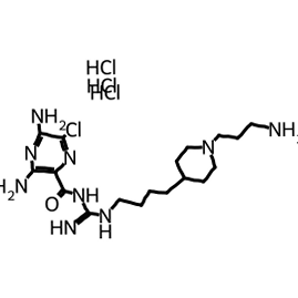 Cl.Cl.Cl.N=C(NCCCCC1CCN(CCCN)CC1)NC(=O)c1nc(Cl)c(N)nc1N